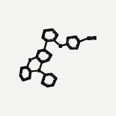 N#Cc1ccc(Oc2ccccc2-c2ccc3c(c2)Sc2ccccc2N3c2ccccc2)cc1